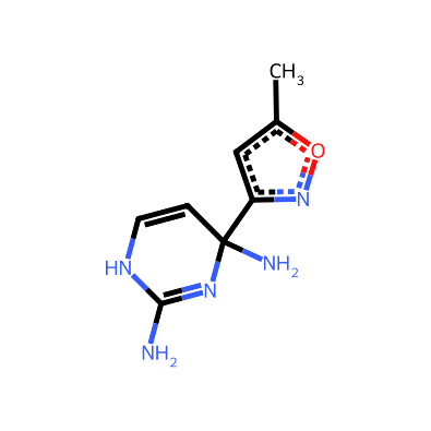 Cc1cc(C2(N)C=CNC(N)=N2)no1